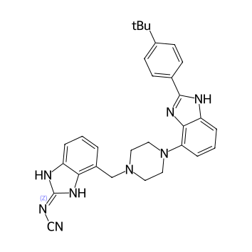 CC(C)(C)c1ccc(-c2nc3c(N4CCN(Cc5cccc6[nH]/c(=N/C#N)[nH]c56)CC4)cccc3[nH]2)cc1